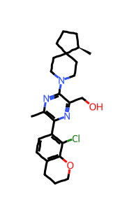 Cc1nc(N2CCC3(CCC[C@H]3C)CC2)c(CO)nc1-c1ccc2c(c1Cl)OCCC2